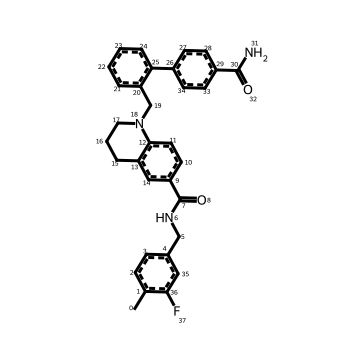 Cc1ccc(CNC(=O)c2ccc3c(c2)CCCN3Cc2ccccc2-c2ccc(C(N)=O)cc2)cc1F